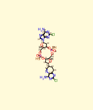 Nc1nc(Cl)nc2c1N=CC([C@H]1CC3O[P@](=O)(S)OC[C@H]4O[C@@H](n5cnc6c(N)nc(Cl)nc65)CC4O[P@](=O)(S)OC[C@H]3O1)CC2